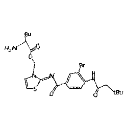 CCC(C)C(N)C(=O)OCn1ccs/c1=N\C(=O)c1ccc(NC(=O)CC(C)(C)C)c(Br)c1